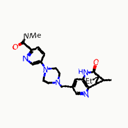 CC[C@]12C(=O)Nc3cc(CN4CCN(c5ccc(C(=O)NC)nc5)CC4)cnc3C1C2C